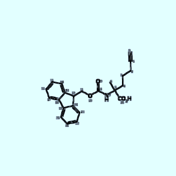 C#CCCCC(C)(NC(=O)OCC1c2ccccc2-c2ccccc21)C(=O)O